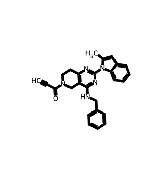 C#CC(=O)N1CCc2nc(-n3c(C)cc4ccccc43)nc(NCc3ccccc3)c2C1